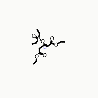 CCOC(=O)/C=C(/CC(=O)OCC)OP(=O)(CC)CC